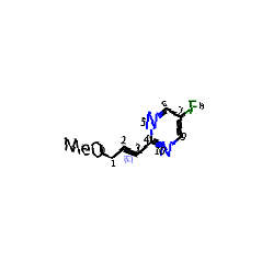 COC/C=C/c1ncc(F)cn1